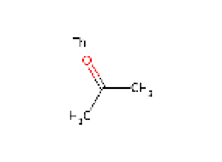 CC(C)=O.[Th]